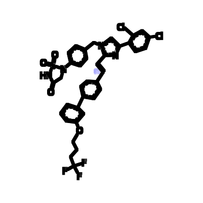 O=C1CN(c2ccc(Cn3cc(-c4ccc(Cl)cc4Cl)nc3/C=C/c3ccc(-c4cccc(OCCCC(F)(F)F)c4)cc3)cc2)S(=O)(=O)N1